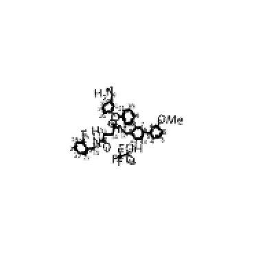 COc1cccc(-c2ccc(CN(C(=O)CCC(=O)NCc3ccccc3F)c3ccccc3Oc3cccc(CN)c3)cc2)c1.O=C(O)C(F)(F)F